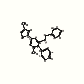 Cc1csc(C2=CN(C)C(c3ccncc3)C(OCc3ccccc3)=C2)n1